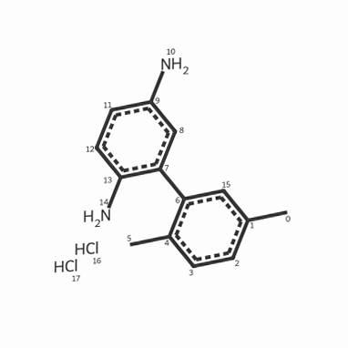 Cc1ccc(C)c(-c2cc(N)ccc2N)c1.Cl.Cl